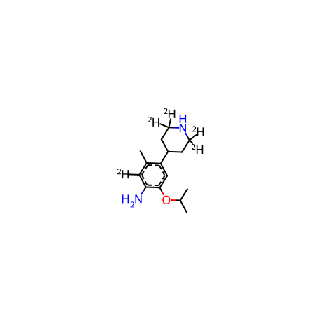 [2H]c1c(C)c(C2CC([2H])([2H])NC([2H])([2H])C2)cc(OC(C)C)c1N